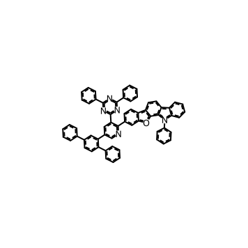 c1ccc(-c2ccc(-c3ccccc3)c(-c3cnc(-c4ccc5c(c4)oc4c5ccc5c6ccccc6n(-c6ccccc6)c54)c(-c4nc(-c5ccccc5)nc(-c5ccccc5)n4)c3)c2)cc1